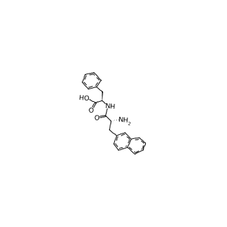 N[C@H](Cc1ccc2ccccc2c1)C(=O)N[C@H](Cc1ccccc1)C(=O)O